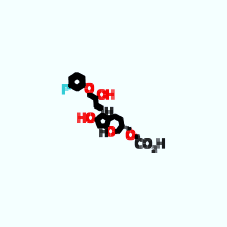 O=C(O)COC[C@H]1CC[C@@H]2[C@@H](C=C[C@@H](O)COc3cccc(F)c3)[C@H](O)C[C@@H]2OC1